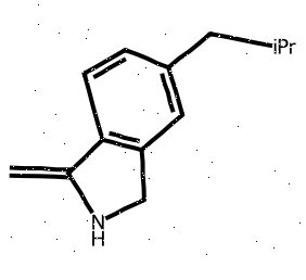 C=C1NCc2cc(CC(C)C)ccc21